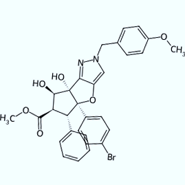 COC(=O)[C@H]1[C@@H](O)[C@@]2(O)c3nn(Cc4ccc(OC)cc4)cc3O[C@@]2(c2ccc(Br)cc2)[C@@H]1c1ccccc1